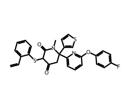 C=Cc1ccccc1SC1C(=O)CC(c2ccsc2)(c2cccc(Oc3ccc(F)cc3)n2)N(C)C1=O